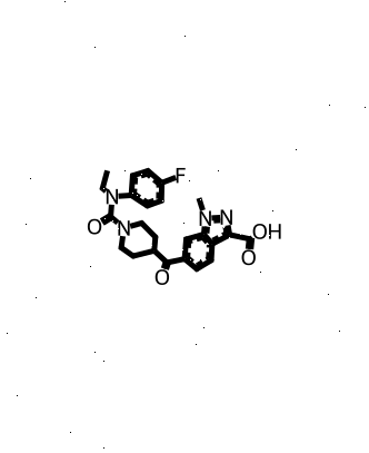 CCN(C(=O)N1CCC(C(=O)c2ccc3c(C(=O)O)nn(C)c3c2)CC1)c1ccc(F)cc1